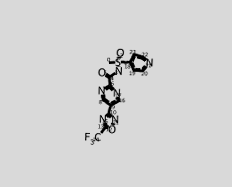 CS(=O)(=NC(=O)c1ncc(-c2noc(C(F)(F)F)n2)cn1)c1ccncc1